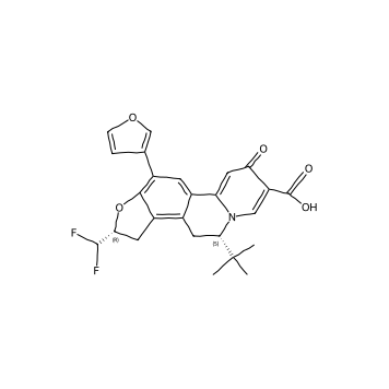 CC(C)(C)[C@@H]1Cc2c(cc(-c3ccoc3)c3c2C[C@H](C(F)F)O3)-c2cc(=O)c(C(=O)O)cn21